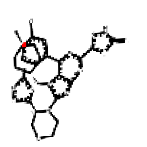 Cc1noc([C@@H]2COCCN2c2nc3nc(-c4n[nH]c(=O)o4)nc(-c4cccc(Cl)c4)c3n2C[C@H]2CC[C@H](C)CC2)n1